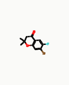 CC1(C)CC(=O)c2cc(F)c(Br)cc2O1